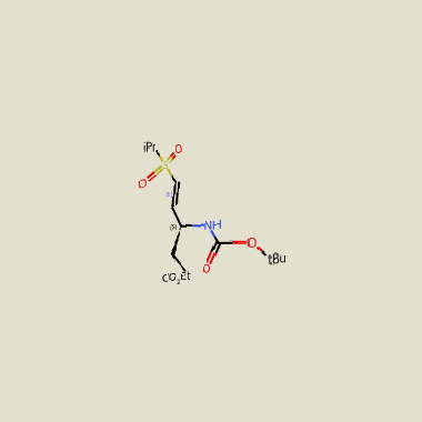 CCOC(=O)C[C@@H](/C=C/S(=O)(=O)C(C)C)NC(=O)OC(C)(C)C